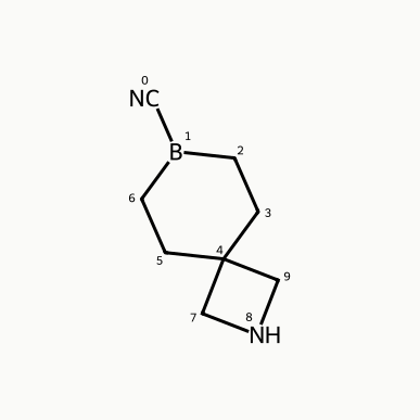 N#CB1CCC2(CC1)CNC2